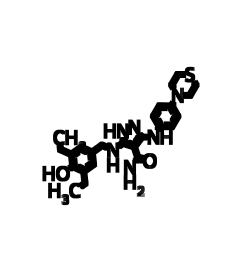 CCc1cc(CNc2[nH]nc(Nc3ccc(N4CCSCC4)cc3)c2C(N)=O)cc(CC)c1O